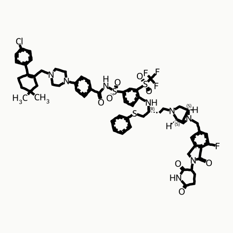 CC1(C)CCC(c2ccc(Cl)cc2)=C(CN2CCN(c3ccc(C(=O)NS(=O)(=O)c4ccc(N[C@H](CCN5C[C@@H]6C[C@H]5CN6Cc5cc(F)c6c(c5)CN(C5CCC(=O)NC5=O)C6=O)CSc5ccccc5)c(S(=O)(=O)C(F)(F)F)c4)cc3)CC2)C1